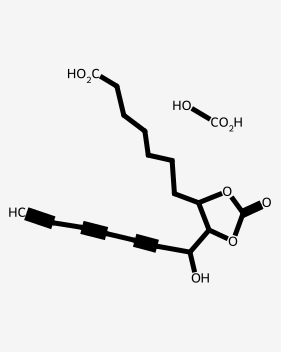 C#CC#CC#CC(O)C1OC(=O)OC1CCCCCCC(=O)O.O=C(O)O